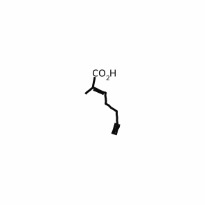 C#CCCC=C(C)C(=O)O